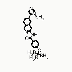 BC(B)(B)Oc1ccc(C(=O)Nc2cc3cc(-c4cncn4C)ccc3cn2)cc1